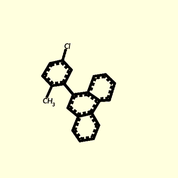 Cc1ccc(Cl)cc1-c1cc2ccccc2c2ccccc12